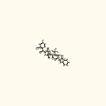 Cc1ccc(C(=O)N2C[C@@H]3C[C@H]2CN3C(=O)[C@@H](NC(=O)c2cc3ccccc3[nH]2)C(C)(C)C)c(Cl)c1